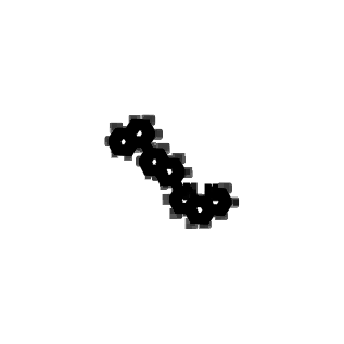 c1ccc2c(-c3ccc4cc(-c5ccc6ccc7cccnc7c6n5)ccc4c3)cccc2c1